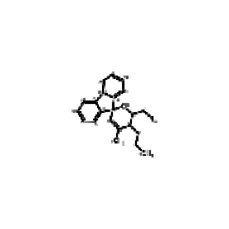 CCCC1C(C)=CC2(OC1CI)c1ccccc1-c1ccccc12